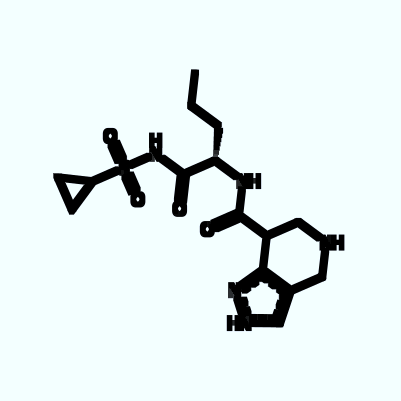 CCC[C@H](NC(=O)C1CNCc2c[nH]nc21)C(=O)NS(=O)(=O)C1CC1